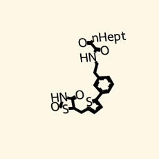 CCCCCCCC(=O)C(=O)NCCc1cccc(-c2ccc(CC3SC(=O)NC3=O)s2)c1